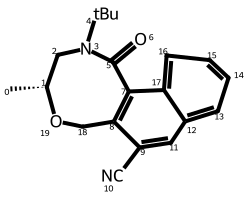 C[C@@H]1CN(C(C)(C)C)C(=O)c2c(c(C#N)cc3ccccc23)CO1